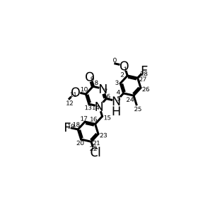 COc1cc(Nc2nc(=O)c(OC)cn2Cc2cc(F)cc(Cl)c2)c(C)cc1F